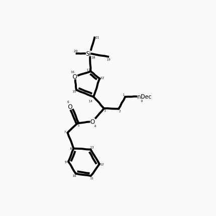 CCCCCCCCCCCCC(OC(=O)Cc1ccccc1)c1coc([Si](C)(C)C)c1